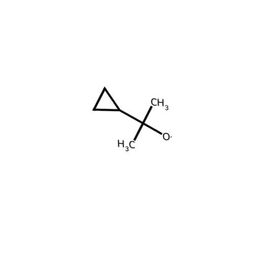 CC(C)([O])C1CC1